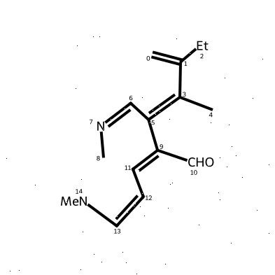 C=C(CC)/C(C)=C(\C=N/C)C(/C=O)=C/C=C\NC